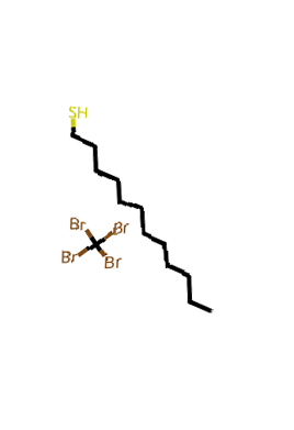 BrC(Br)(Br)Br.CCCCCCCCCCCCS